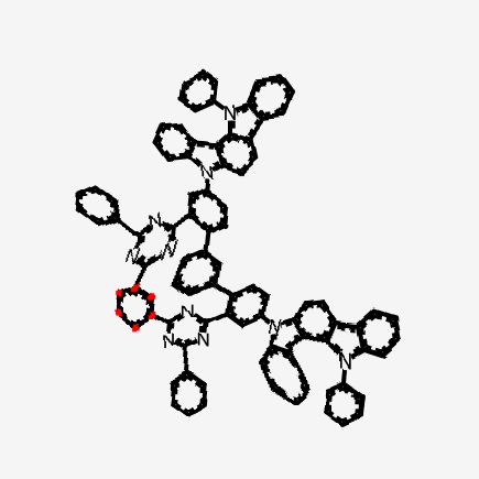 c1ccc(-c2nc(-c3ccccc3)nc(-c3cc(-n4c5ccccc5c5c4ccc4c6ccccc6n(-c6ccccc6)c45)ccc3-c3cccc(-c4ccc(-n5c6ccccc6c6c5ccc5c7ccccc7n(-c7ccccc7)c56)cc4-c4nc(-c5ccccc5)nc(-c5ccccc5)n4)c3)n2)cc1